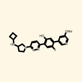 COc1cncc(-c2cc(O)c(-c3ccc(N4CCC(NC5CCC5)C4)nn3)cc2F)c1